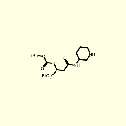 CCOC(=O)[C@H](CC(=O)NC1CCCNC1)NC(=O)OC(C)(C)C